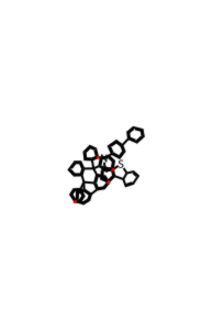 C1=CC2Sc3c(cccc3N(c3ccc(-c4ccccc4)cc3)c3ccccc3C3(c4ccccc4)c4ccccc4C4(c5ccccc5)c5ccccc5-c5cccc3c54)C2C=C1